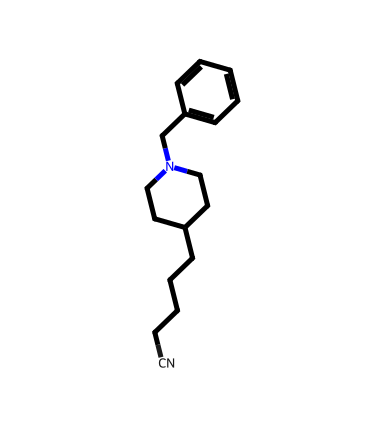 N#CCCCCC1CCN(Cc2ccccc2)CC1